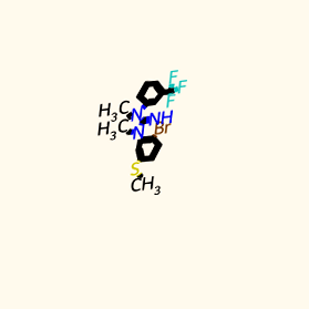 CCSc1ccc(Br)c(N(CC)C(=N)N(CC)c2cccc(C(F)(F)F)c2)c1